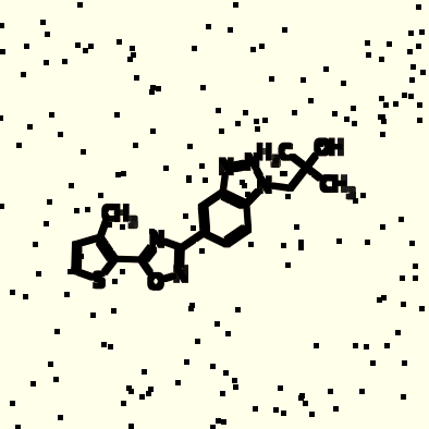 Cc1ccsc1-c1nc(-c2ccc3c(c2)nnn3CC(C)(C)O)no1